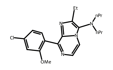 CCCN(CCC)c1c(CC)nc2c(-c3ccc(Cl)cc3OC)nccn12